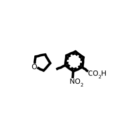 C1CCOC1.Cc1cccc(C(=O)O)c1[N+](=O)[O-]